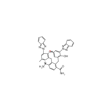 Cc1cc(Cc2c(C(N)=O)ccc(C(N)=O)c2Cc2cc(C)cc(-n3nc4ccccc4n3)c2O)c(O)c(-n2nc3ccccc3n2)c1